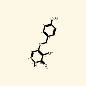 CCCCc1ccc(COc2cn[nH]c(=O)c2Cl)cc1